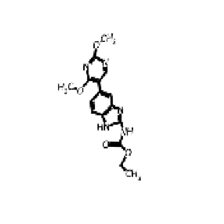 CCOC(=O)Nc1nc2cc(-c3cnc(OC)nc3OC)ccc2[nH]1